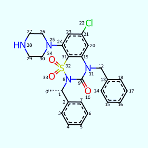 C[C@@H](c1ccccc1)N1C(=O)N(Cc2ccccc2)c2cc(Cl)cc(N3CCNCC3)c2S1(=O)=O